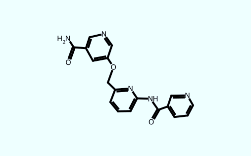 NC(=O)c1cncc(OCc2cccc(NC(=O)c3cccnc3)n2)c1